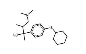 CC(CN(C)C)C(C)(O)c1ccc(SC2CCCCC2)cc1